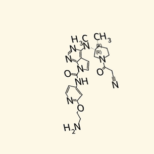 C[C@@H]1CCN(C(=O)CC#N)C[C@@H]1N(C)c1ncnc2c1ccn2C(=O)Nc1ccnc(OCCN)c1